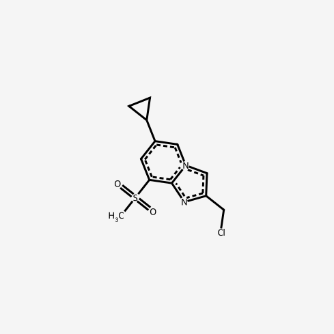 CS(=O)(=O)c1cc(C2CC2)cn2cc(CCl)nc12